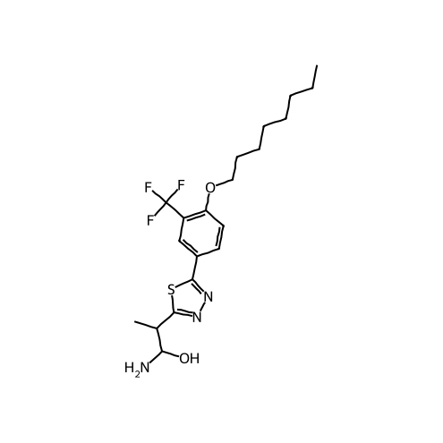 CCCCCCCCOc1ccc(-c2nnc(C(C)C(N)O)s2)cc1C(F)(F)F